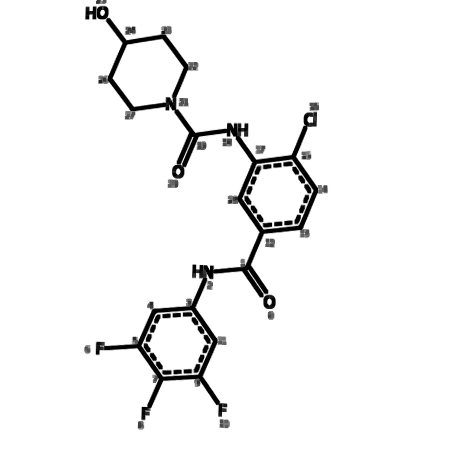 O=C(Nc1cc(F)c(F)c(F)c1)c1ccc(Cl)c(NC(=O)N2CCC(O)CC2)c1